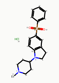 CCN1CCC(N2CCc3cc(S(=O)(=O)c4ccccc4)ccc32)CC1.Cl